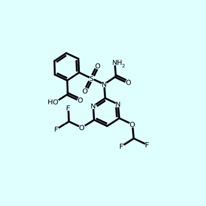 NC(=O)N(c1nc(OC(F)F)cc(OC(F)F)n1)S(=O)(=O)c1ccccc1C(=O)O